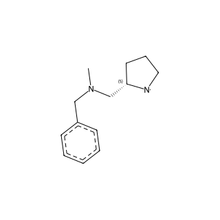 CN(Cc1ccccc1)C[C@@H]1CCC[N]1